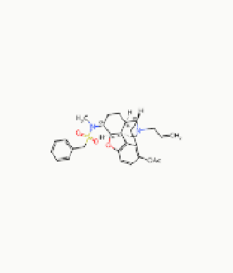 C=CCN1CC[C@@]23c4c5ccc(OC(C)=O)c4C[C@@H]1[C@@H]2CC[C@H](N(C)S(=O)(=O)Cc1ccccc1)[C@@H]3O5